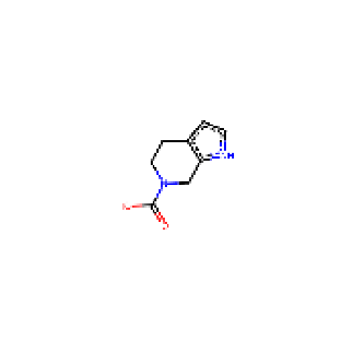 O=C(O)N1CCc2cc[nH]c2C1